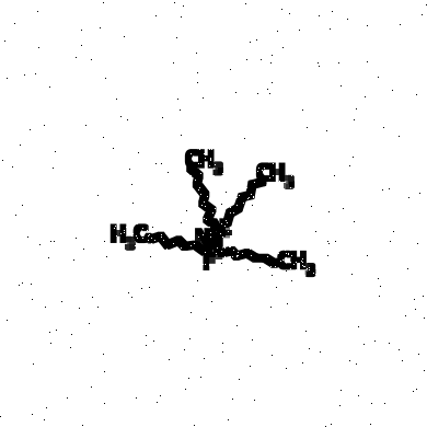 CCCCCCCC[N](CCCCCCCC)[Nd+][N](CCCCCCCC)CCCCCCCC.[F-]